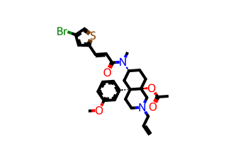 C=CCN1CC[C@@]2(c3cccc(OC)c3)C[C@H](N(C)C(=O)/C=C/c3cc(Br)cs3)CC[C@]2(OC(C)=O)C1